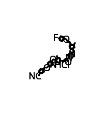 Cc1cc(CN2CCN(C(=O)C=Cc3cc(C)c(Oc4ccc(OCc5ccc(C#N)cc5)cn4)c(C)c3)CC2)ccc1CCOc1ccc(F)cc1.Cl